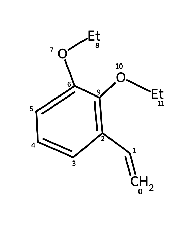 C=Cc1cccc(OCC)c1OCC